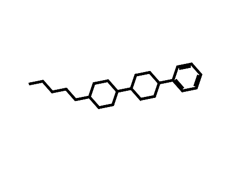 CCCCCC1CCC(C2[CH]CC(c3ccccc3)CC2)CC1